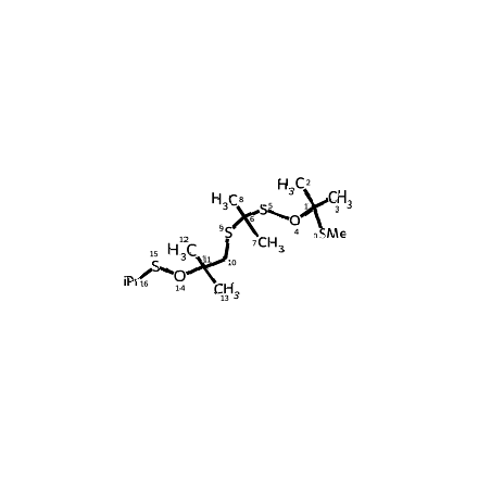 CSC(C)(C)OSC(C)(C)SCC(C)(C)OSC(C)C